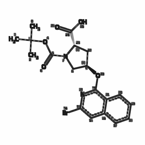 CC(C)(C)OC(=O)N1C[C@H](Oc2nc(Br)cc3ccccc23)C[C@H]1C(=O)O